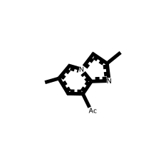 CC(=O)c1cc(C)cn2cc(C)nc12